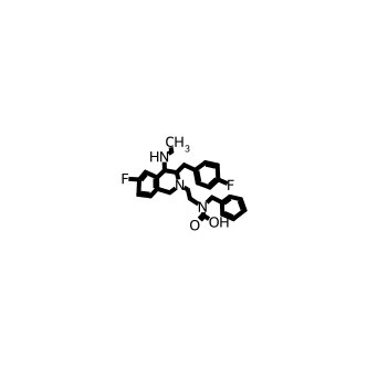 CCNC1c2cc(F)ccc2CN(CCN(Cc2ccccc2)C(=O)O)C1Cc1ccc(F)cc1